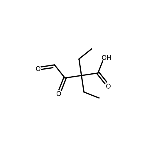 CCC(CC)(C(=O)O)C(=O)C=O